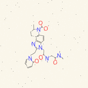 COC(=O)N1c2ccc3c(nc(CCn4ccccc4=O)n3CC(=O)N(C)CC(=O)N(C)C)c2CCC1C